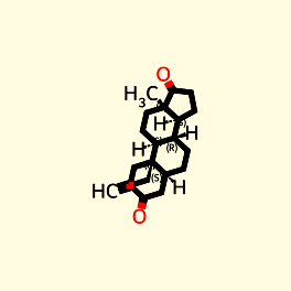 C#CC[C@]12CCC(=O)C[C@@H]1CC[C@@H]1[C@@H]2CC[C@]2(C)C(=O)CC[C@@H]12